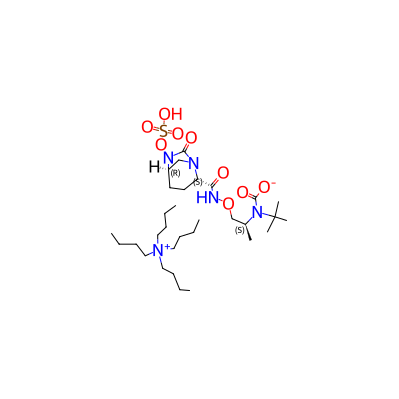 CCCC[N+](CCCC)(CCCC)CCCC.C[C@@H](CONC(=O)[C@@H]1CC[C@@H]2CN1C(=O)N2OS(=O)(=O)O)N(C(=O)[O-])C(C)(C)C